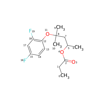 CCC(=O)OC(C)CC(C)(C)Oc1ccc(F)cc1F